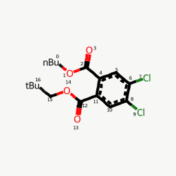 CCCCOC(=O)c1cc(Cl)c(Cl)cc1C(=O)OCC(C)(C)C